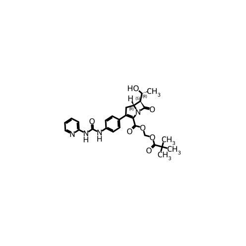 C[C@@H](O)[C@H]1C(=O)N2C(C(=O)OCOC(=O)C(C)(C)C)=C(c3ccc(NC(=O)Nc4ccccn4)cc3)C[C@H]12